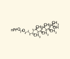 CCCOCOCCCC(C)CC(C)CC(C)CC(C)CC(C)CC(C)O